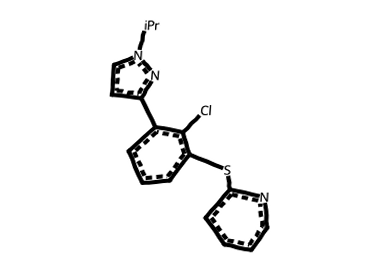 CC(C)n1ccc(-c2cccc(Sc3ccccn3)c2Cl)n1